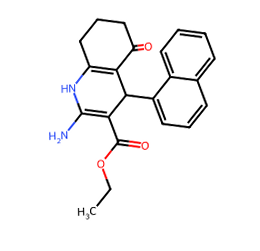 CCOC(=O)C1=C(N)NC2=C(C(=O)CCC2)C1c1cccc2ccccc12